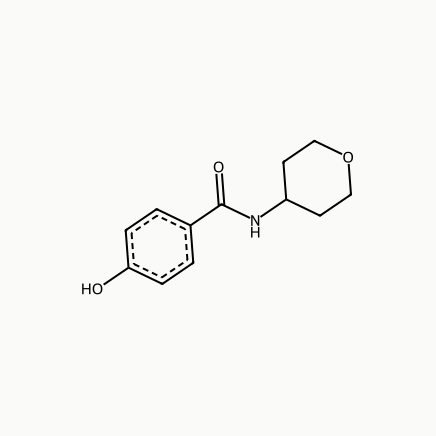 O=C(NC1CCOCC1)c1ccc(O)cc1